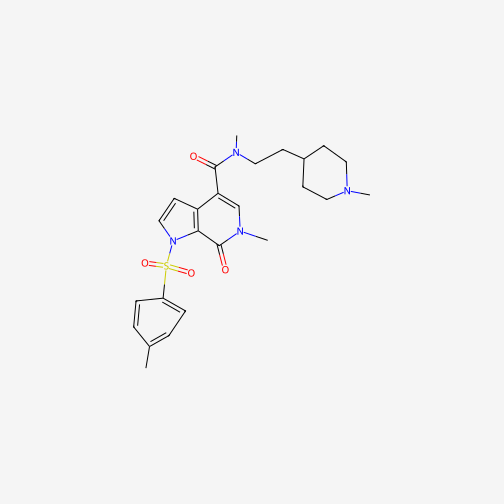 Cc1ccc(S(=O)(=O)n2ccc3c(C(=O)N(C)CCC4CCN(C)CC4)cn(C)c(=O)c32)cc1